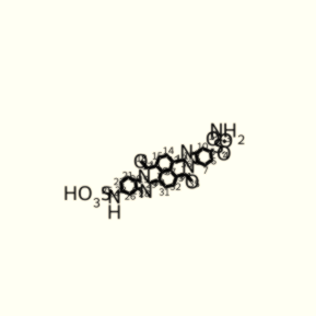 NOS(=O)(=O)c1ccc2c(c1)nc1c3ccc4c(=O)n5c6ccc(NS(=O)(=O)O)cc6nc5c5ccc(c(=O)n21)c3c45